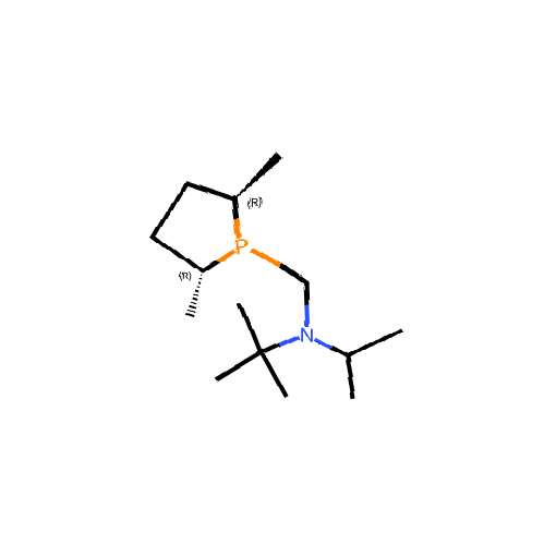 CC(C)N(CP1[C@H](C)CC[C@H]1C)C(C)(C)C